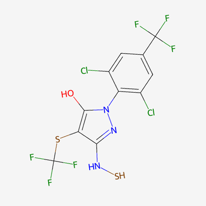 Oc1c(SC(F)(F)F)c(NS)nn1-c1c(Cl)cc(C(F)(F)F)cc1Cl